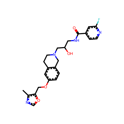 Cc1ncoc1COc1ccc2c(c1)CCN(CC(O)CNC(=O)c1ccnc(F)c1)C2